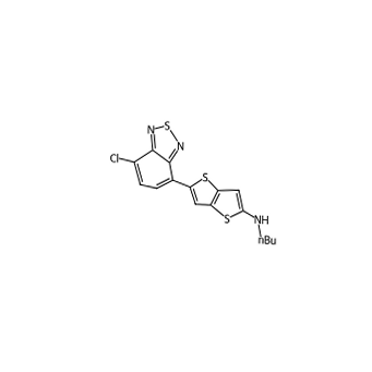 CCCCNc1cc2sc(-c3ccc(Cl)c4nsnc34)cc2s1